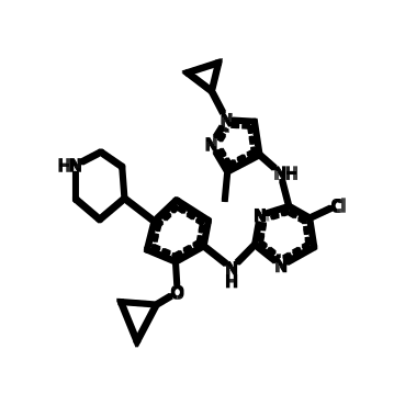 Cc1nn(C2CC2)cc1Nc1nc(Nc2ccc(C3CCNCC3)cc2OC2CC2)ncc1Cl